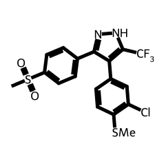 CSc1ccc(-c2c(-c3ccc(S(C)(=O)=O)cc3)n[nH]c2C(F)(F)F)cc1Cl